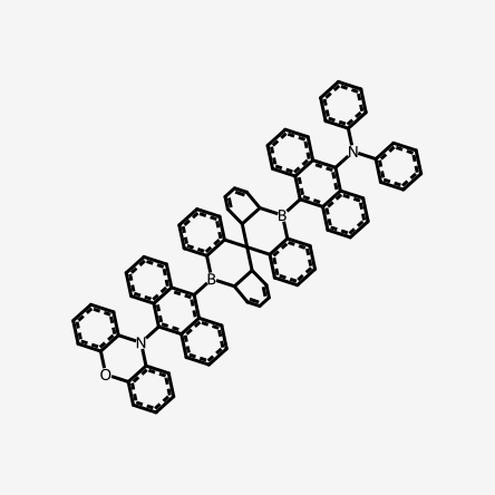 C1=CC2B(c3c4ccccc4c(N(c4ccccc4)c4ccccc4)c4ccccc34)c3ccccc3C3(c4ccccc4B(c4c5ccccc5c(N5c6ccccc6Oc6ccccc65)c5ccccc45)C4C=CC=CC43)C2C=C1